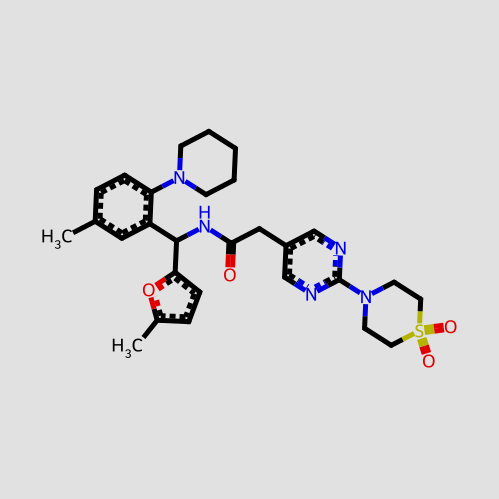 Cc1ccc(N2CCCCC2)c(C(NC(=O)Cc2cnc(N3CCS(=O)(=O)CC3)nc2)c2ccc(C)o2)c1